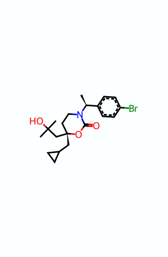 C[C@@H](c1ccc(Br)cc1)N1CC[C@@](CC2CC2)(CC(C)(C)O)OC1=O